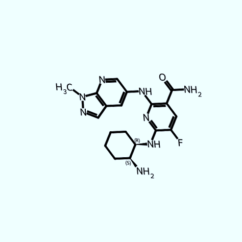 Cn1ncc2cc(Nc3nc(N[C@@H]4CCCC[C@@H]4N)c(F)cc3C(N)=O)cnc21